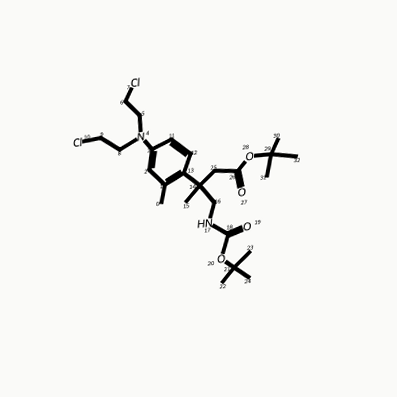 Cc1cc(N(CCCl)CCCl)ccc1C(C)(CNC(=O)OC(C)(C)C)CC(=O)OC(C)(C)C